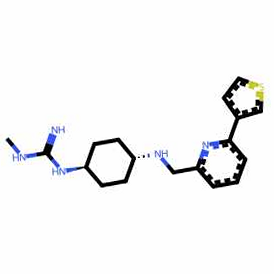 CNC(=N)N[C@H]1CC[C@H](NCc2cccc(-c3ccsc3)n2)CC1